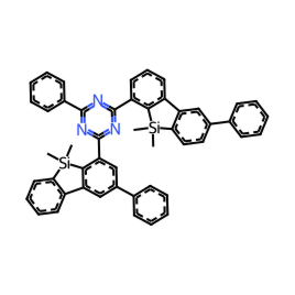 C[Si]1(C)c2ccc(-c3ccccc3)cc2-c2cccc(-c3nc(-c4ccccc4)nc(-c4cc(-c5ccccc5)cc5c4[Si](C)(C)c4ccccc4-5)n3)c21